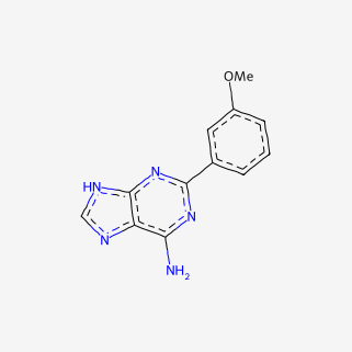 COc1cccc(-c2nc(N)c3nc[nH]c3n2)c1